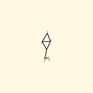 BC1C2CC12